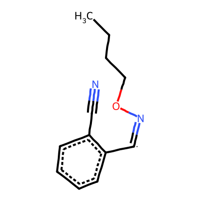 CCCCO/N=[C]\c1ccccc1C#N